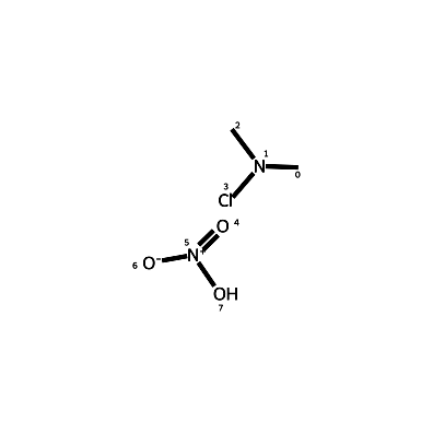 CN(C)Cl.O=[N+]([O-])O